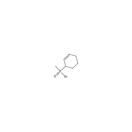 CCP(C)(=O)C1C=CCCC1